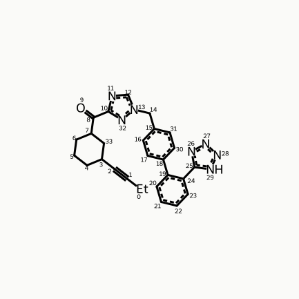 CCC#CC1CCCC(C(=O)c2ncn(Cc3ccc(-c4ccccc4-c4nnn[nH]4)cc3)n2)C1